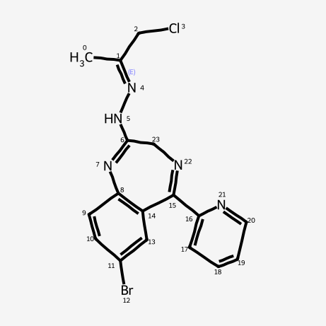 C/C(CCl)=N\NC1=Nc2ccc(Br)cc2C(c2ccccn2)=NC1